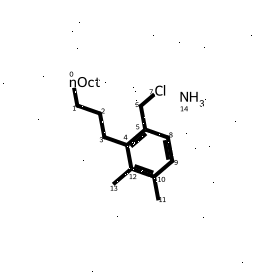 CCCCCCCCCCCc1c(CCl)ccc(C)c1C.N